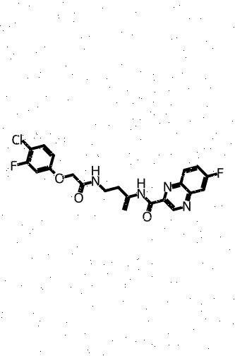 C=C(CCNC(=O)COc1ccc(Cl)c(F)c1)NC(=O)c1cnc2cc(F)ccc2n1